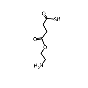 NCCOC(=O)CCC(=O)S